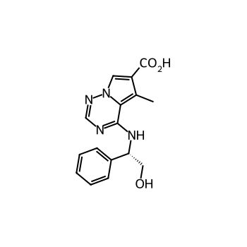 Cc1c(C(=O)O)cn2ncnc(N[C@H](CO)c3ccccc3)c12